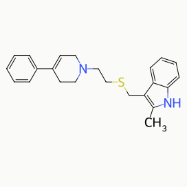 Cc1[nH]c2ccccc2c1CSCCN1CC=C(c2ccccc2)CC1